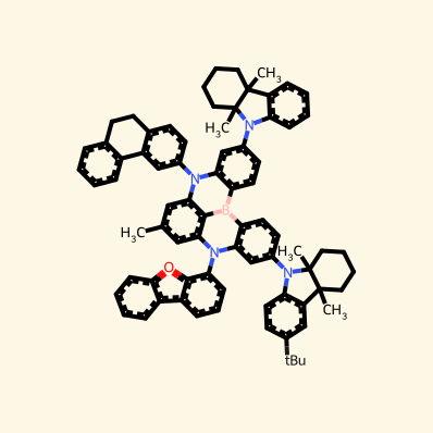 Cc1cc2c3c(c1)N(c1cccc4c1oc1ccccc14)c1cc(N4c5ccc(C(C)(C)C)cc5C5(C)CCCCC45C)ccc1B3c1ccc(N3c4ccccc4C4(C)CCCCC34C)cc1N2c1ccc2c(c1)-c1ccccc1CC2